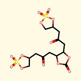 O=C(CC1COS(=O)(=O)O1)CC1OC(=O)OC1CC(=O)CC1COS(=O)(=O)O1